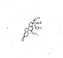 C#C[C@]1(O)CCC2C3CCC4=CC(=O)CCC4C3C(=C)C[C@@]21CC